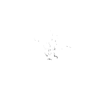 CCCCC[CH2][SnH]([CH2]CCCCC)[O]C(=O)/C(C)=C(/C)C(=O)[O][SnH]([CH2]CCCCC)[CH2]CCCCC